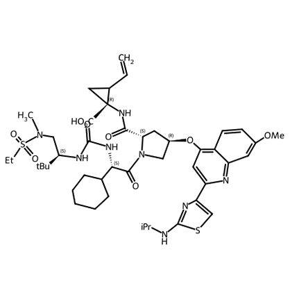 C=CC1C[C@]1(NC(=O)[C@@H]1C[C@@H](Oc2cc(-c3csc(NC(C)C)n3)nc3cc(OC)ccc23)CN1C(=O)[C@@H](NC(=O)N[C@H](CN(C)S(=O)(=O)CC)C(C)(C)C)C1CCCCC1)C(=O)O